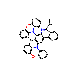 CC(C)(C)c1nc2c3c4c(cc2c2ccccc12)N1c2ccccc2Oc2cccc(c21)B4c1cccc2c1N3c1ccccc1O2